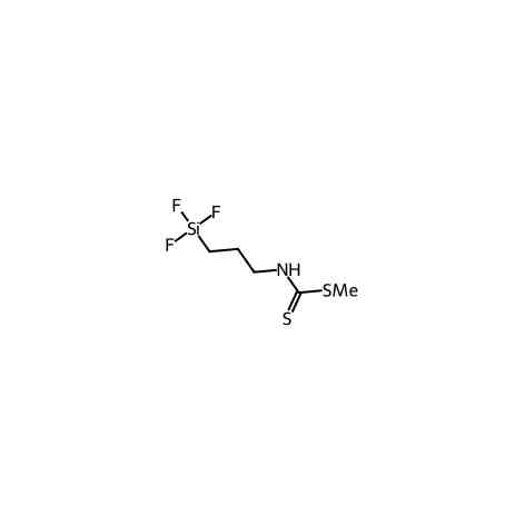 CSC(=S)NCCC[Si](F)(F)F